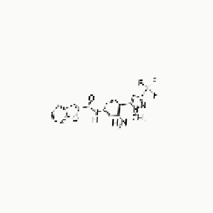 Cn1nc(C(F)(F)F)cc1-c1ccc(NC(=O)c2cc3ccccc3o2)cc1N